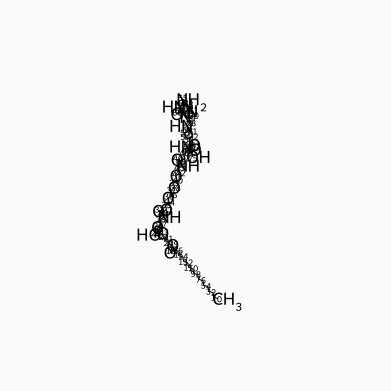 CCCCCCCCCCCCCCCCCC(=O)OCCCOP(O)OCCNC(=O)OCCOCCOCCOCCNC(=O)CC[C@@H](NC(=O)c1ccc(NCc2cnc3nc(N)[nH]c(=O)c3n2)cc1)C(=O)O